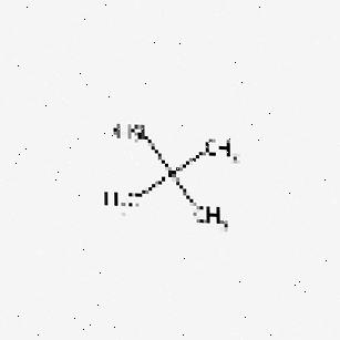 CC(C)(C)[SiH]